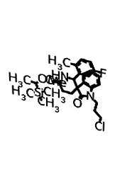 COC(C)[Si](C)(C)C.Cc1ccc(F)cc1C1NC(=O)CCC12C(=O)N(CCCCl)c1ccccc12